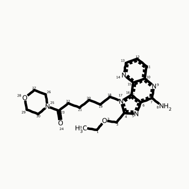 CCOCc1nc2c(N)nc3cccnc3c2n1CCCCCC(=O)N1CCOCC1